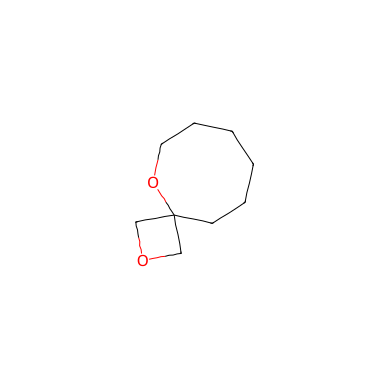 C1CCCC2(COC2)OCC1